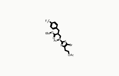 CC(=O)OCCc1nc(N(CC(Cc2ccc(C(F)(F)F)cc2)C(=O)OC(C)(C)C)C(C)=O)sc1Br